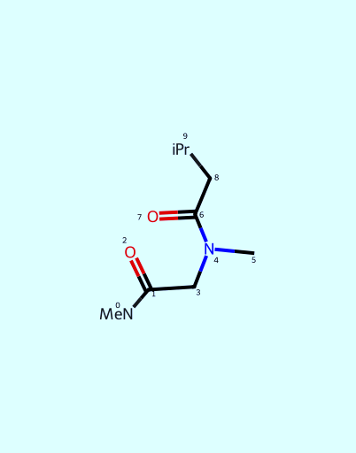 CNC(=O)CN(C)C(=O)CC(C)C